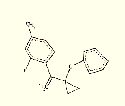 C=C(c1ccc(C)cc1F)C1(Oc2ccccc2)CC1